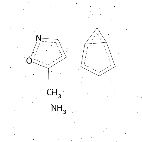 Cc1ccno1.N.c1cc2cc-2c1